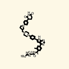 Cc1cc(-c2ncnc3[nH]c(-c4ccc(N5CCN(CC6CCN(c7ccc(C8CCC(=O)NC8=O)cc7)C6)CC5)cc4)cc23)ccc1[C@@H](C)NC(=O)c1nc(C(C)(C)C)no1